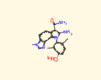 Cc1ccc(O)c(C)c1-n1c(N)c(C(N)=O)c2ccc3c(ncn3C)c21